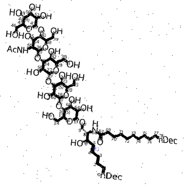 CCCCCCCCCCCCC/C=C/[C@@H](O)[C@H](CO[C@@H]1OC(CO)[C@@H](O[C@@H]2OC(CO)[C@H](O)[C@H](O[C@H]3OC(CO)[C@H](O)[C@H](O[C@@H]4OC(CO)[C@@H](O[C@@H]5OC(CO)[C@H](O)[C@H](O)C5O)[C@H](O)C4NC(C)=O)C3O)C2O)[C@H](O)C1O)NC(=O)CCCCCCCCCCCCCCCCCCC